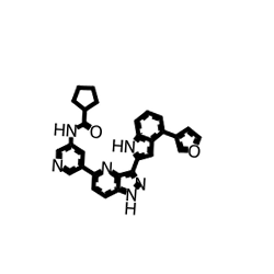 O=C(Nc1cncc(-c2ccc3[nH]nc(-c4cc5c(-c6ccoc6)cccc5[nH]4)c3n2)c1)C1CCCC1